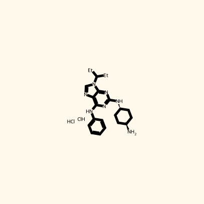 CCC(CC)n1cnc2c(Nc3ccccc3)nc(N[C@H]3CC[C@H](N)CC3)nc21.Cl.Cl